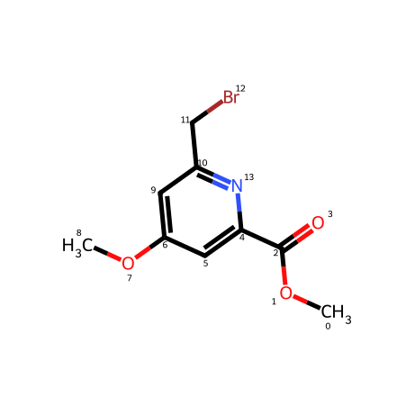 COC(=O)c1cc(OC)cc(CBr)n1